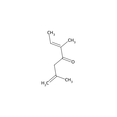 C=C(C)CC(=O)C(C)=CC